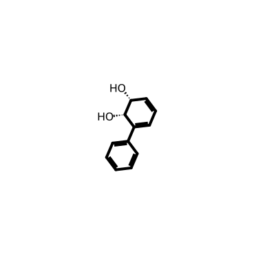 O[C@@H]1C=CC=C(c2ccccc2)[C@@H]1O